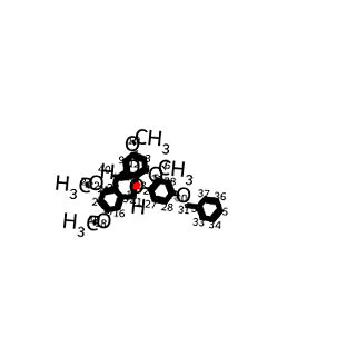 COc1cc(OC)c2c(c1)[C@@H]1C(=O)O[C@@H](c3cc(OC)cc(OC)c31)[C@@H]2c1ccc(OCc2ccccc2)cc1